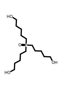 O=P(CCCCCO)(CCCCCO)CCCCCO